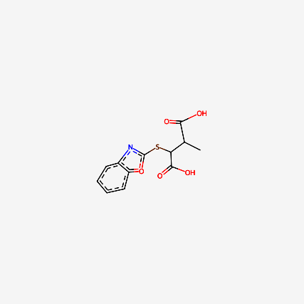 CC(C(=O)O)C(Sc1nc2ccccc2o1)C(=O)O